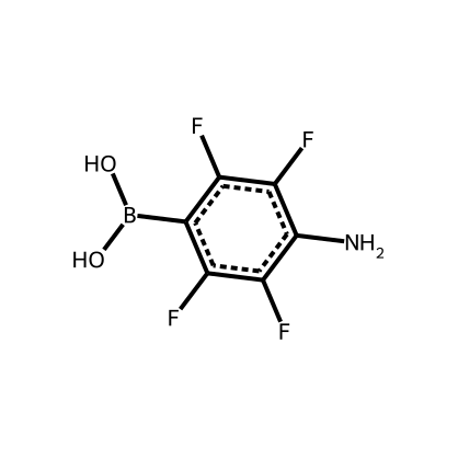 Nc1c(F)c(F)c(B(O)O)c(F)c1F